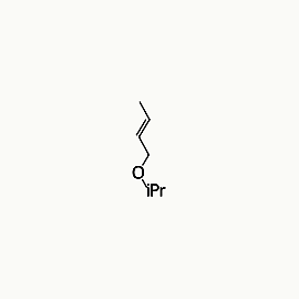 CC=CCOC(C)C